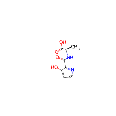 C[C@@H](NC(=O)c1ncccc1O)C(=O)O